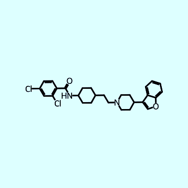 O=C(NC1CCC(CCN2CCC(c3coc4ccccc34)CC2)CC1)c1ccc(Cl)cc1Cl